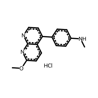 CNc1ccc(-c2ccnc3nc(OC)ccc23)cc1.Cl